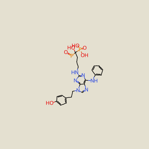 O=PC(O)(CCCNc1nc(Nc2ccccc2)c2ncn(CCc3ccc(O)cc3)c2n1)P(=O)(O)O